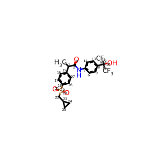 CC(C(=O)Nc1ccc(C(O)(C(F)(F)F)C(F)(F)F)cc1)c1ccc(S(=O)(=O)CC2CC2)cc1